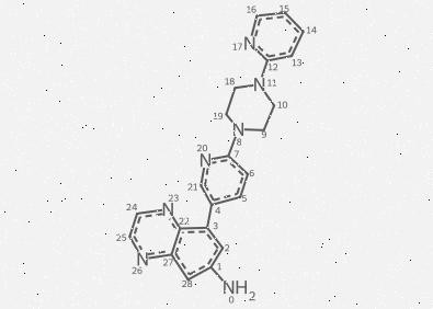 Nc1cc(-c2ccc(N3CCN(c4ccccn4)CC3)nc2)c2nccnc2c1